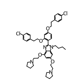 CCCCn1c(-c2ccc(OCCc3ccc(Cl)cc3)cc2OCCc2ccc(Cl)cc2)nc2c(OCCN3CCCC3)cc(OCCN3CCCC3)cc21